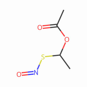 CC(=O)OC(C)SN=O